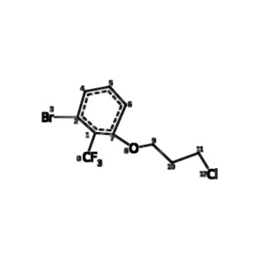 FC(F)(F)c1c(Br)cccc1OCCCCl